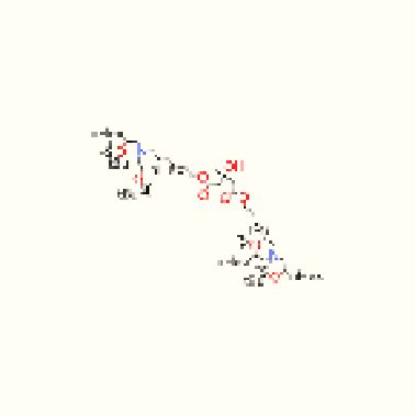 CCCCCCC(CN(CCCCCCOC(=O)CC(C)(O)CC(=O)OCCCCCCN(CC(CCCCCC)O[Si](C)(C)C(C)(C)C)CC(CCCCCC)O[Si](C)(C)C(C)(C)C)CC(CCCCCC)O[Si](C)(C)C(C)(C)C)O[Si](C)(C)C(C)(C)C